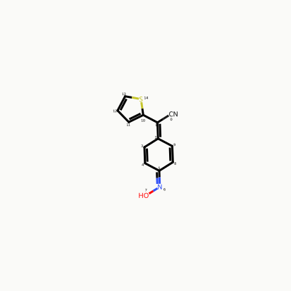 N#CC(=C1C=CC(=NO)C=C1)c1cccs1